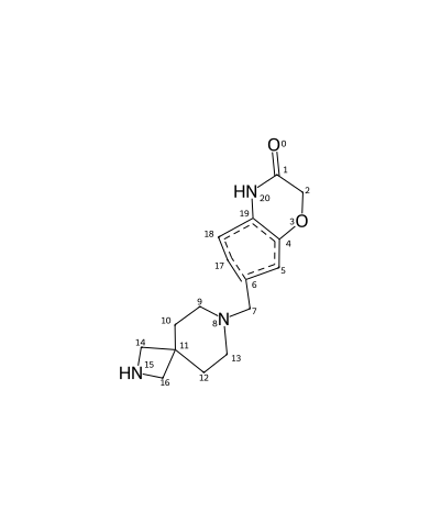 O=C1COc2cc(CN3CCC4(CC3)CNC4)ccc2N1